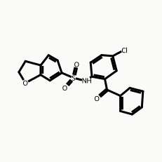 O=C(c1ccccc1)c1cc(Cl)ccc1NS(=O)(=O)c1ccc2c(c1)OCC2